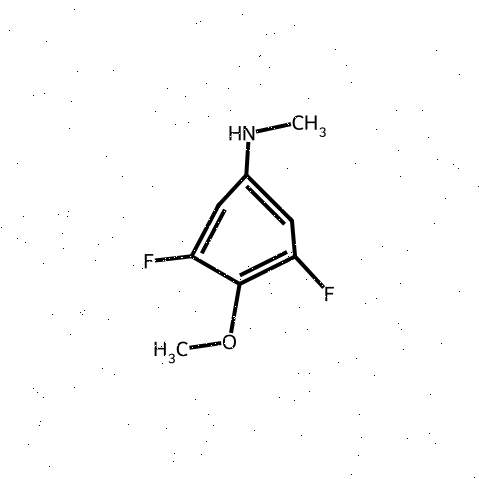 CNc1cc(F)c(OC)c(F)c1